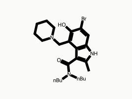 CCCCN(CCCC)C(=O)c1c(C)[nH]c2cc(Br)c(O)c(CN3CCCCC3)c12